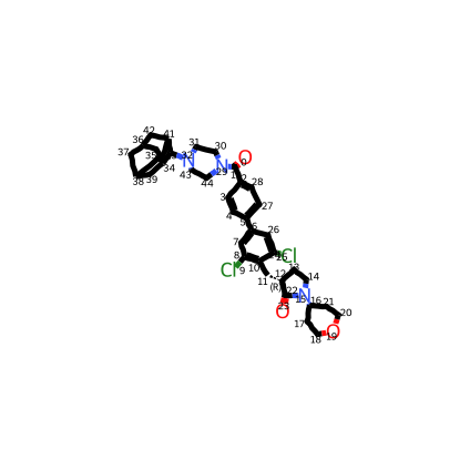 O=C(c1ccc(-c2cc(Cl)c(C[C@@H]3CCN(C4CCOCC4)C3=O)c(Cl)c2)cc1)N1CCN(C2C3CC4CC(C3)CC2C4)CC1